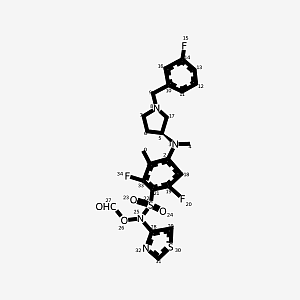 Cc1c(N(C)[C@H]2CCN(Cc3cccc(F)c3)C2)cc(F)c(S(=O)(=O)N(OC=O)c2cscn2)c1F